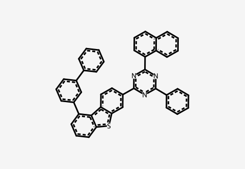 c1ccc(-c2cccc(-c3cccc4sc5cc(-c6nc(-c7ccccc7)nc(-c7cccc8ccccc78)n6)ccc5c34)c2)cc1